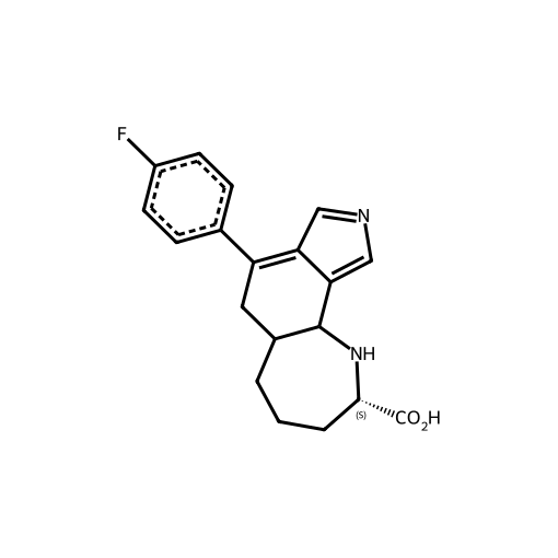 O=C(O)[C@@H]1CCCC2CC(c3ccc(F)cc3)=C3C=NC=C3C2N1